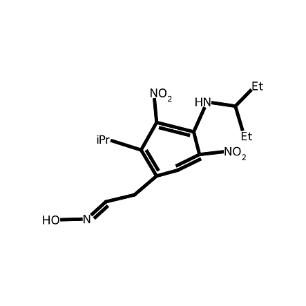 CCC(CC)Nc1c([N+](=O)[O-])cc(CC=NO)c(C(C)C)c1[N+](=O)[O-]